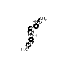 C=CC(=O)Nc1cccc(-n2ccc3cnc(Nc4ccc(N5CCN(C)CC5)c(F)c4)nc32)c1